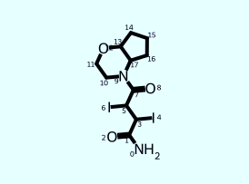 NC(=O)C(I)C(I)C(=O)N1CCOC2CCCC21